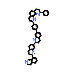 c1ccc(-c2ccc3ccc4ccc(-c5ccc(-c6ccc7ccc(-c8ccc9ccc(-c%10cccc%11ccncc%10%11)nc9c8)nc7c6)cc5)nc4c3n2)cc1